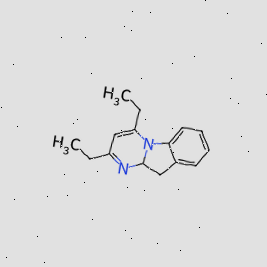 CCC1=CC(CC)=NC2Cc3ccccc3N12